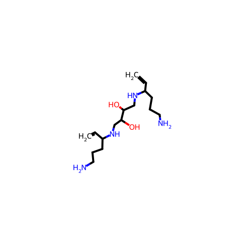 C=CC(CCCN)NCC(O)C(O)CNC(C=C)CCCN